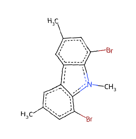 Cc1cc(Br)c2c(c1)c1cc(C)cc(Br)c1n2C